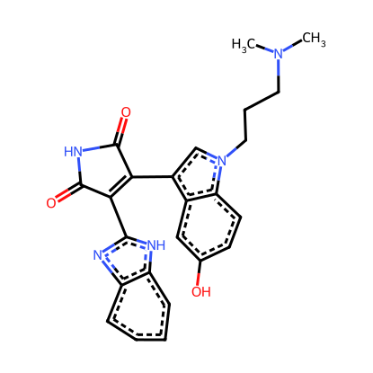 CN(C)CCCn1cc(C2=C(c3nc4ccccc4[nH]3)C(=O)NC2=O)c2cc(O)ccc21